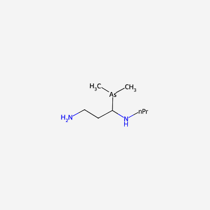 CCCNC(CCN)[As](C)C